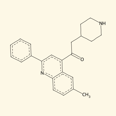 Cc1ccc2nc(-c3ccccc3)cc(C(=O)CC3CCNCC3)c2c1